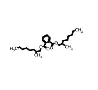 CCCCCCC(C)COC(=O)c1ccccc1C(=O)OCC(C)CCCCCC